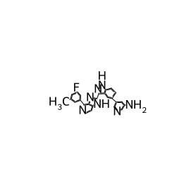 Cc1cc(F)cc(-c2nccc3[nH]c(-c4n[nH]c5ccc(-c6cncc(N)c6)cc45)nc23)c1